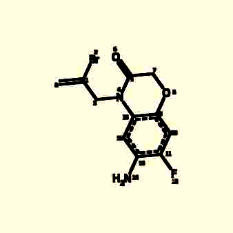 C=C(Br)CN1C(=O)COc2cc(F)c(N)cc21